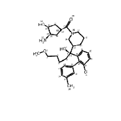 COCCCC[C@@](O)(c1cccc(Cl)c1-c1cccc(C)c1)C1CCCN(C(=O)[C@H]2C[C@@H](N)[C@@H](O)C2)C1